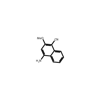 COc1cc(N)c2ccccc2c1C#N